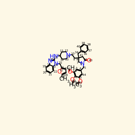 COc1cc(CN2CC(CCN3CCC(Nc4nc5ccccc5n4Cc4ccc(C)o4)CC3)(Cc3ccccc3)CC2=O)cc(OC)c1OC